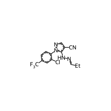 CCC=NNc1c(C#N)cnn1-c1ccc(C(F)(F)F)cc1Cl